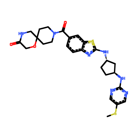 CSc1cnc(N[C@H]2CC[C@H](Nc3nc4ccc(C(=O)N5CCC6(CC5)CNC(=O)CO6)cc4s3)C2)nc1